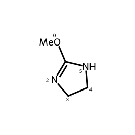 COC1=N[CH]CN1